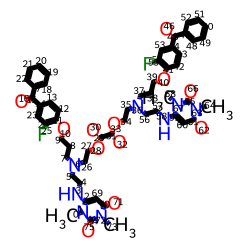 Cn1c(NCCN(CCCOc2ccc(C(=O)c3ccccc3)cc2F)CCOC(=O)C(=O)OCCN(CCCOc2ccc(C(=O)c3ccccc3)cc2F)CCNc2cc(=O)n(C)c(=O)n2C)cc(=O)n(C)c1=O